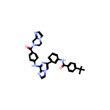 CC(C)(C)c1ccc(C(=O)Nc2cccc(-c3cn4ccnc4c(Nc4ccc(C(=O)N5CCn6ccnc6C5)cc4)n3)c2)cc1